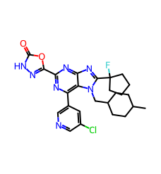 CC1CCC(Cn2c(C3(F)CCCC3)nc3nc(-c4n[nH]c(=O)o4)nc(-c4cncc(Cl)c4)c32)CC1